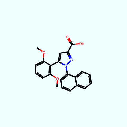 COc1cccc(OC)c1-c1cc(C(=O)O)nn1-c1cccc2ccccc12